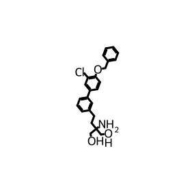 NC(CO)(CO)CCc1cccc(-c2ccc(OCc3ccccc3)c(Cl)c2)c1